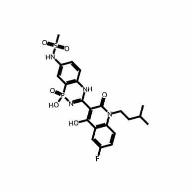 CC(C)CCn1c(=O)c(C2=NP(=O)(O)c3cc(NS(C)(=O)=O)ccc3N2)c(O)c2cc(F)ccc21